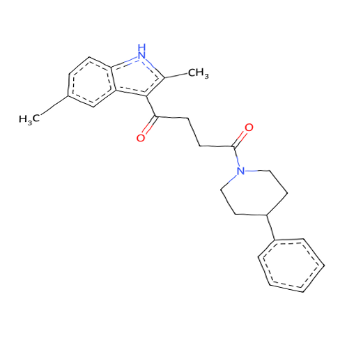 Cc1ccc2[nH]c(C)c(C(=O)CCC(=O)N3CCC(c4ccccc4)CC3)c2c1